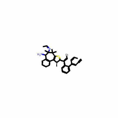 C#C/C=C(\C=C/C)c1ccccc1/C(=C/CC)C1SC2=C(C3=C(CCCC3)C(N)C(C)(/N=C\C)C2(C)C)[C@@H]1C